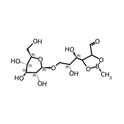 CB1OC(C=O)C([C@H](O)[C@H](O)CO[C@@H]2O[C@H](CO)[C@@H](O)[C@H](O)[C@H]2O)O1